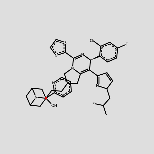 CC(F)CC1C=CC(C2=C3CC(CCCN4C5CC4CC(O)(c4ccccn4)C5)CN3C(c3nccs3)=N[C@H]2c2ccc(F)cc2Cl)=N1